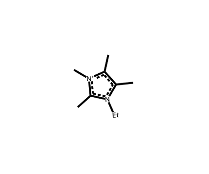 CCn1c(C)c(C)[n+](C)c1C